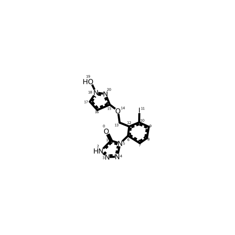 O=c1[nH]nnn1-c1cccc(I)c1COc1ccn(O)n1